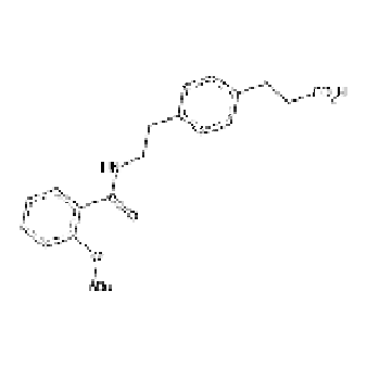 CCCCOc1ccccc1C(=O)NCCc1ccc(CCC(=O)O)cc1